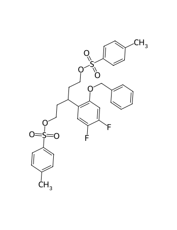 Cc1ccc(S(=O)(=O)OCCC(CCOS(=O)(=O)c2ccc(C)cc2)c2cc(F)c(F)cc2OCc2ccccc2)cc1